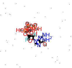 Nc1nc2c(ncn2[C@@H]2O[C@]3(F)C(OP(=O)(O)OP(=O)(O)OP(=O)(O)O)[C@]3(O)[C@H]2F)c(=O)[nH]1